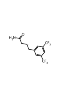 NC(=O)C[CH]Cc1cc(C(F)(F)F)cc(C(F)(F)F)c1